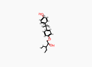 CCC(CC)C(O)COc1ccc(C(C)(C)c2ccc(O)cc2)cc1